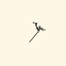 CCCCCCCCCCCCCCCCCCOc1cc(OCCCOc2cccc(Br)c2)cc(N(CC(=O)O)CC(=O)O)c1